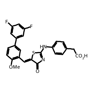 COc1ccc(-c2cc(F)cc(F)c2)cc1C=C1SC(Nc2ccc(CC(=O)O)cc2)=NC1=O